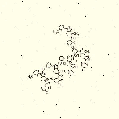 CC1c2n[nH]c(-c3ncc(F)cn3)c2CCN1C(=O)c1cccc(C(F)(F)F)c1Cl.C[C@H]1c2n[nH]c(-c3ncc(F)cn3)c2CCN1C(=O)c1cccc(C(F)(F)F)c1Cl.Cc1cccc(-n2nnc3c2CCN(C(=O)c2cccc(C(F)(F)F)c2Cl)[C@@H]3C)n1.Cc1cccc(-n2nnc3c2CCN(C(=O)c2cccc(C(F)(F)F)c2Cl)[C@H]3C)n1.Cc1ccnc(-n2nnc3c2CCN(C(=O)c2cccc(Cl)c2Cl)[C@@H]3C)n1